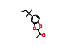 CCC(C)(C)c1ccc2c(c1)OC(C(C)=O)O2